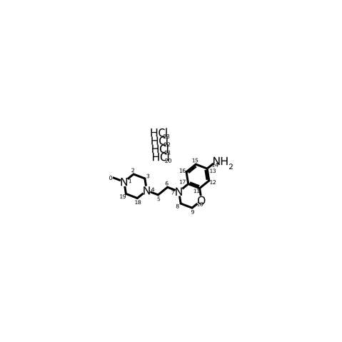 CN1CCN(CCN2CCOc3cc(N)ccc32)CC1.Cl.Cl.Cl.Cl